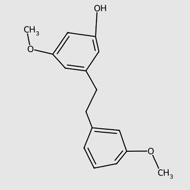 COc1cccc(CCc2cc(O)cc(OC)c2)c1